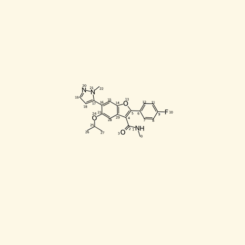 CNC(=O)c1c(-c2ccc(F)cc2)oc2cc(-c3ccnn3C)c(OC(C)C)cc12